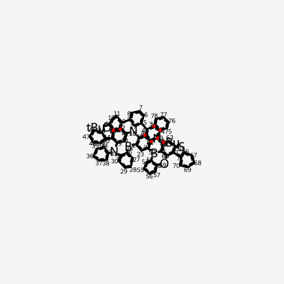 CC(C)(C)c1ccc(-c2cccc(-c3ccc(C(C)(C)C)cc3)c2N2c3cc4c(cc3B3c5ccccc5N(c5ccccc5)c5c3c2cc2oc3ccccc3c52)B2c3ccccc3Oc3c2c(cc2sc5ccccc5c32)N4c2ccccc2)cc1